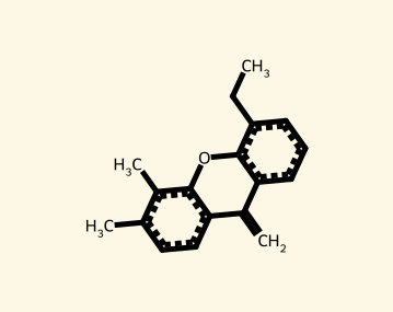 C=C1c2cccc(CC)c2Oc2c1ccc(C)c2C